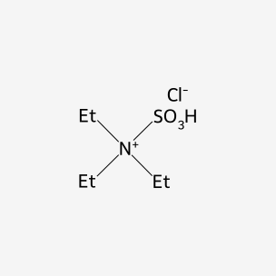 CC[N+](CC)(CC)S(=O)(=O)O.[Cl-]